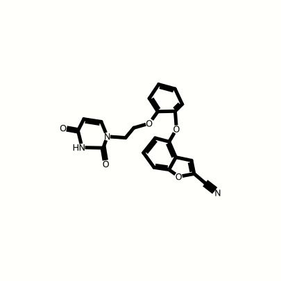 N#Cc1cc2c(Oc3ccccc3OCCn3ccc(=O)[nH]c3=O)cccc2o1